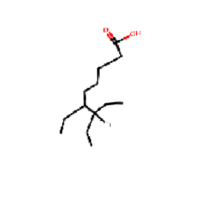 CCC(CCCCC(=O)O)[C]([Ti])(CC)CC